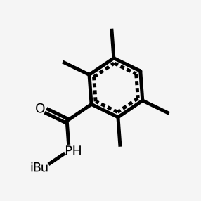 CCC(C)PC(=O)c1c(C)c(C)cc(C)c1C